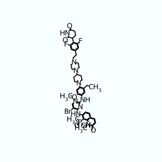 CCc1cc(Nc2ncc(Br)c(Nc3ccc4ccc(=O)n(C)c4c3P(C)(C)=O)n2)c(OC)cc1N1CCC(N2CCN(CCc3cc(F)c(C4CCC(=O)NC4=O)c(F)c3)CC2)CC1